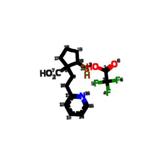 O=C(O)C(F)(F)F.O=C(O)C1(CCc2ccccn2)CCCC1S